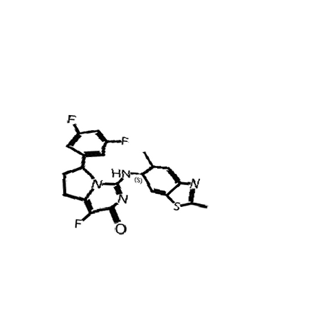 Cc1nc2c(s1)=C[C@@H](Nc1nc(=O)c(F)c3n1C(c1cc(F)cc(F)c1)CC3)C(C)C=2